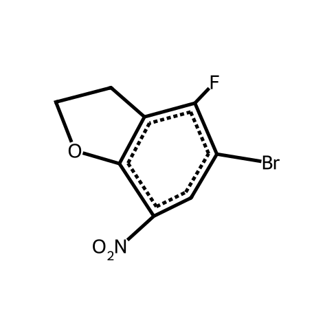 O=[N+]([O-])c1cc(Br)c(F)c2c1OCC2